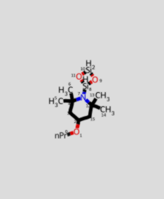 CCCOC1CC(C)(C)N([SiH]2O[SiH2]O2)C(C)(C)C1